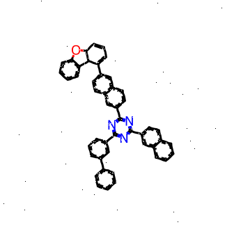 C1=CC2Oc3ccccc3C2C(c2ccc3cc(-c4nc(-c5cccc(-c6ccccc6)c5)nc(-c5ccc6ccccc6c5)n4)ccc3c2)=C1